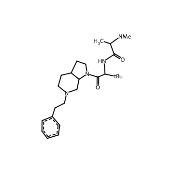 CNC(C)C(=O)NC(C(=O)N1CCC2CCN(CCc3ccccc3)CC21)C(C)(C)C